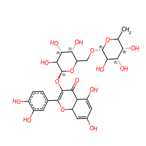 CC1O[C@@H](OCC2O[C@@H](OC3=C(c4ccc(O)c(O)c4)OC4C=C(O)C=C(O)C4C3=O)C(O)[C@H](O)[C@@H]2O)C(O)[C@@H](O)[C@H]1O